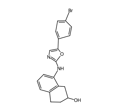 OC1CCc2cccc(Nc3ncc(-c4ccc(Br)cc4)o3)c2C1